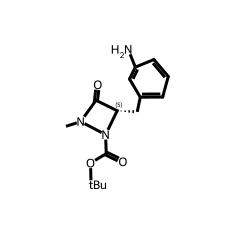 CN1C(=O)[C@H](Cc2cccc(N)c2)N1C(=O)OC(C)(C)C